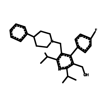 CC(C)c1nc(C(C)C)c(CN2CCC(c3ccccc3)CC2)c(-c2ccc(F)cc2)c1CO